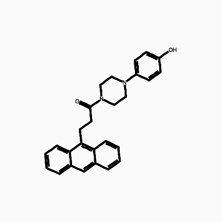 O=C(CCc1c2ccccc2cc2ccccc12)N1CCN(c2ccc(O)cc2)CC1